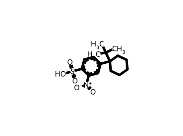 CC(C)(C)C1(c2ccc(S(=O)(=O)O)c([N+](=O)[O-])c2)CCCCC1